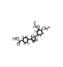 CCOc1ccc(-c2nnc(-c3ccc(C(=O)O)cc3)o2)cc1OCC